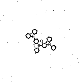 c1ccc(-n2c3ccccc3c3c4c(ccc32)B2c3ccccc3Oc3cc(-n5c6ccccc6c6ccccc65)cc(c32)O4)cc1